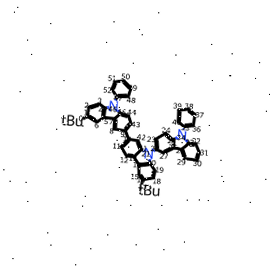 CC(C)(C)c1ccc2c(c1)c1cc(-c3ccc4c5cc(C(C)(C)C)ccc5n(-c5ccc6c(c5)c5ccccc5n6-c5ccccc5)c4c3)ccc1n2-c1ccccc1